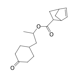 CC(CC1CCC(=O)CC1)OC(=O)C1CC2C=CC1C2